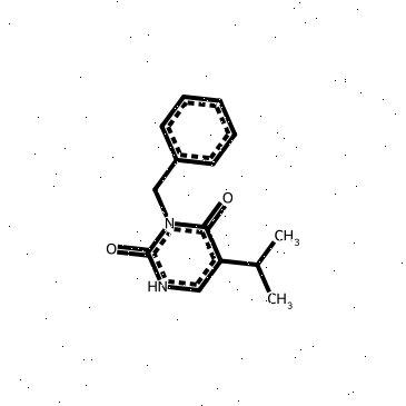 CC(C)c1c[nH]c(=O)n(Cc2ccccc2)c1=O